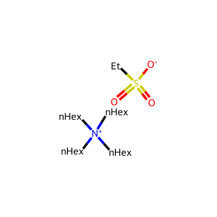 CCCCCC[N+](CCCCCC)(CCCCCC)CCCCCC.CCS(=O)(=O)[O-]